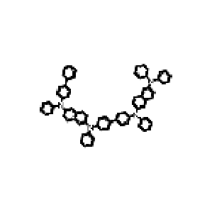 c1ccc(-c2ccc(N(c3ccccc3)c3ccc4cc(N(c5ccccc5)c5ccc(-c6ccc(N(c7ccccc7)c7ccc8cc(N(c9ccccc9)c9ccccc9)ccc8c7)cc6)cc5)ccc4c3)cc2)cc1